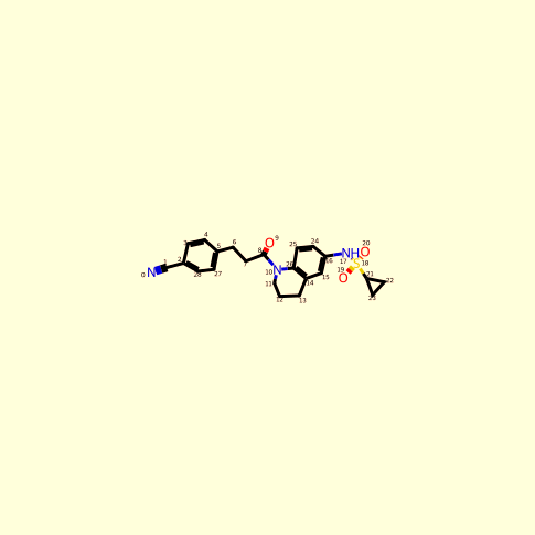 N#Cc1ccc(CCC(=O)N2CCCc3cc(NS(=O)(=O)C4CC4)ccc32)cc1